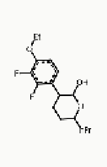 CCCC1CCC(c2ccc(OCC)c(F)c2F)C(O)O1